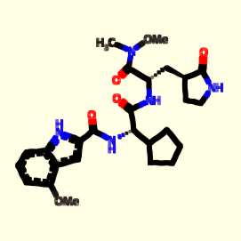 COc1cccc2[nH]c(C(=O)N[C@H](C(=O)N[C@@H](C[C@@H]3CCNC3=O)C(=O)N(C)OC)C3CCCC3)cc12